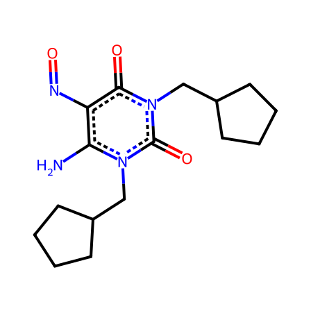 Nc1c(N=O)c(=O)n(CC2CCCC2)c(=O)n1CC1CCCC1